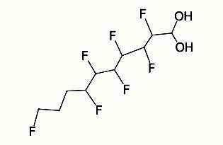 OC(O)C(F)C(F)C(F)C(F)C(F)C(F)CCCF